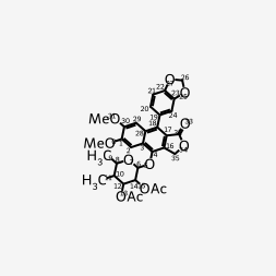 COc1cc2c(OC3OC(C)C(C)C(OC(C)=O)C3OC(C)=O)c3c(c(-c4ccc5c(c4)OCO5)c2cc1OC)C(=O)OC3